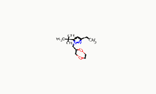 CCc1cc(C(C)(C)C)n(CC2COCCO2)n1